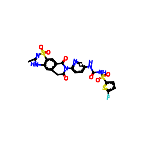 CC1=NS(=O)(=O)c2cc3c(cc2N1)CC(=O)N(c1ccc(NC(=O)NS(=O)(=O)c2ccc(F)s2)cn1)C3=O